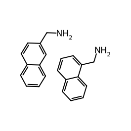 NCc1ccc2ccccc2c1.NCc1cccc2ccccc12